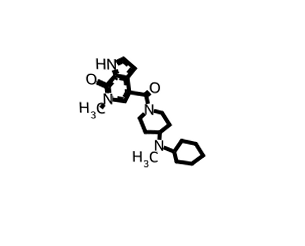 CN(C1CCCCC1)C1CCN(C(=O)c2cn(C)c(=O)c3[nH]ccc23)CC1